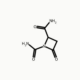 NC(=O)C1CC(=O)N1C(N)=O